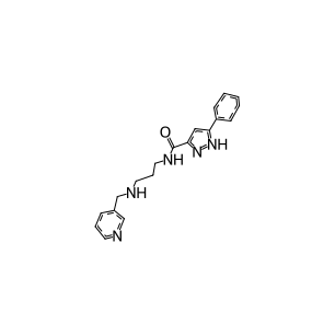 O=C(NCCCNCc1cccnc1)c1cc(-c2ccccc2)[nH]n1